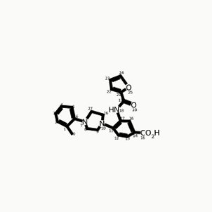 Cc1ccccc1N1CCN(c2ccc(C(=O)O)cc2NC(=O)c2ccco2)CC1